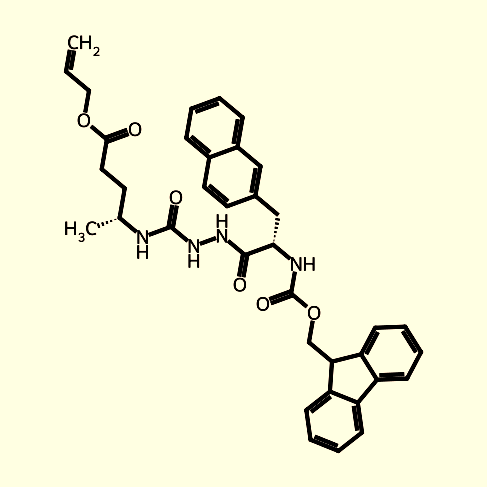 C=CCOC(=O)CC[C@@H](C)NC(=O)NNC(=O)[C@H](Cc1ccc2ccccc2c1)NC(=O)OCC1c2ccccc2-c2ccccc21